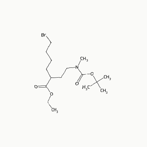 CCOC(=O)C(CCCCBr)CCN(C)C(=O)OC(C)(C)C